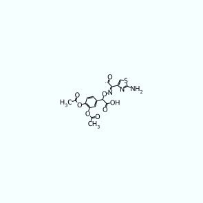 CC(=O)Oc1ccc(C(ON=C([C]=O)c2csc(N)n2)C(=O)O)cc1OC(C)=O